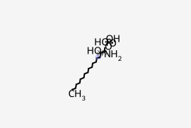 CCCCCCCCCCCCC/C=C/[C@H](O)[C@H](N)COP(=O)(O)O